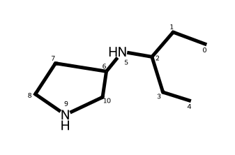 CCC(CC)NC1CCNC1